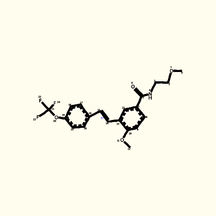 COCCNC(=O)c1ccc(OC)c(/C=C/c2ccc(OC(F)(F)F)cc2)c1